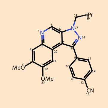 COc1cc2ncc3c(c(-c4ccc(C#N)cc4)nn3CC(C)C)c2cc1OC